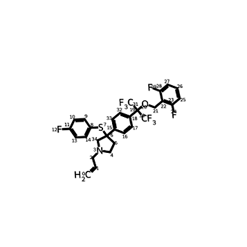 C=CCN1CCC(Sc2ccc(F)cc2)(c2ccc(C(OCc3c(F)cccc3F)(C(F)(F)F)C(F)(F)F)cc2)C1